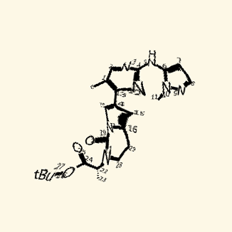 Cc1cnc(Nc2ccnn2C)nc1-c1cc2n(c1)C(=O)N([C@H](C)C(=O)OC(C)(C)C)CC2